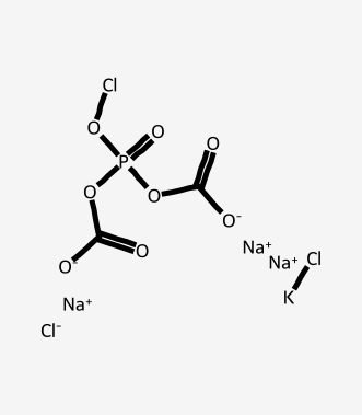 O=C([O-])OP(=O)(OCl)OC(=O)[O-].[Cl-].[Cl][K].[Na+].[Na+].[Na+]